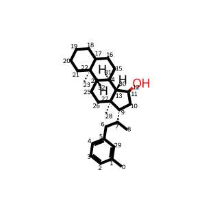 Cc1cccc(CC(C)[C@H]2CC(O)[C@H]3[C@@H]4CCC5CCCC[C@]5(C)[C@H]4CC[C@]23C)c1